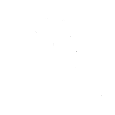 CCC(C)(C)CCC(Oc1ccccc1)(C(=O)NCC(C)(C)C(=O)C(Cl)C(=O)Nc1ccccc1)C(C)(C)CC